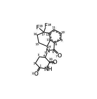 O=C1CCC(N2C(=O)c3cccc4c3C2CCC4(F)F)C(=O)N1